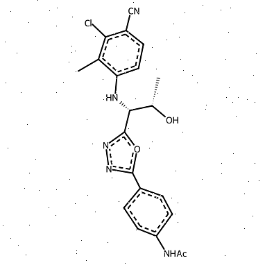 CC(=O)Nc1ccc(-c2nnc([C@H](Nc3ccc(C#N)c(Cl)c3C)[C@H](C)O)o2)cc1